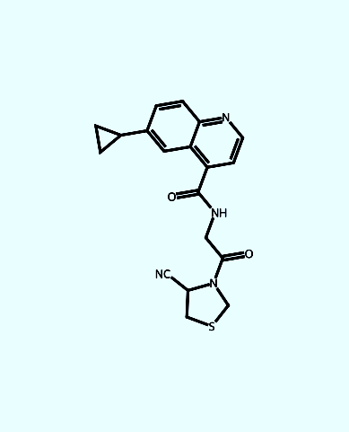 N#CC1CSCN1C(=O)CNC(=O)c1ccnc2ccc(C3CC3)cc12